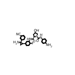 N#Cc1cccc(C2(N)CC2c2ccc(F)c(NC(=O)[C@H]3C[C@@H](O)CN3C(=O)Nc3ccc(N)cc3)c2)c1